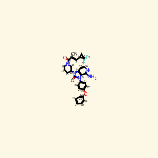 N#CC(=CC1CC1(F)F)C(=O)N1CCCC(n2c(=O)n(-c3ccc(Oc4ccccc4)cc3)c3c(N)nccc32)C1